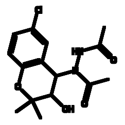 CC(=O)NN(C(C)=O)C1c2cc(Cl)ccc2OC(C)(C)C1O